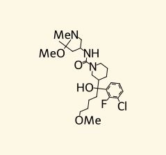 CNCC(CC(C)(C)OC)NC(=O)N1CCCC(C(O)(CCCCOC)c2cccc(Cl)c2F)C1